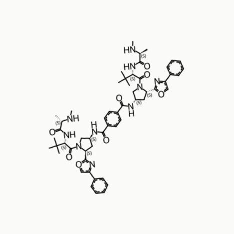 CN[C@@H](C)C(=O)N[C@H](C(=O)N1C[C@@H](NC(=O)c2ccc(C(=O)N[C@H]3C[C@@H](c4nc(-c5ccccc5)co4)N(C(=O)[C@@H](NC(=O)[C@H](C)NC)C(C)(C)C)C3)cc2)C[C@H]1c1nc(-c2ccccc2)co1)C(C)(C)C